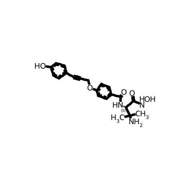 CC(C)(N)[C@H](NC(=O)c1ccc(OCC#Cc2ccc(O)cc2)cc1)C(=O)NO